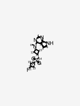 CN(c1ncnc2[nH]ccc12)[C@H]1C[C@@H](CS(=O)(=O)N2CC(F)C2)C1